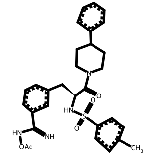 CC(=O)ONC(=N)c1cccc(C[C@H](NS(=O)(=O)c2ccc(C)cc2)C(=O)N2CCC(c3ccccc3)CC2)c1